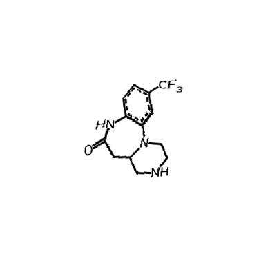 O=C1CC2CNCCN2c2cc(C(F)(F)F)ccc2N1